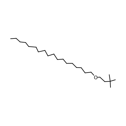 CCCCCCCCCCCCCCCCCCOCCC(C)(C)C